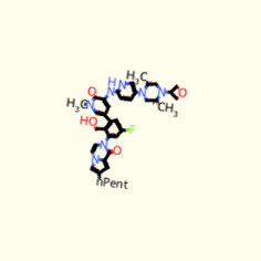 CCCCCc1cc2c(=O)n(-c3cc(F)cc(-c4cc(Nc5ccc(N6C[C@@H](C)N(C7COC7)C[C@@H]6C)cn5)c(=O)n(C)c4)c3CO)ccn2c1